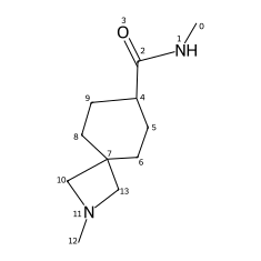 CNC(=O)C1CCC2(CC1)CN(C)C2